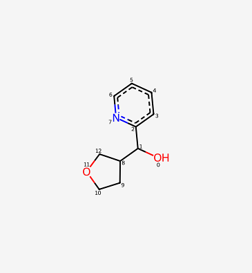 OC(c1ccccn1)C1CCOC1